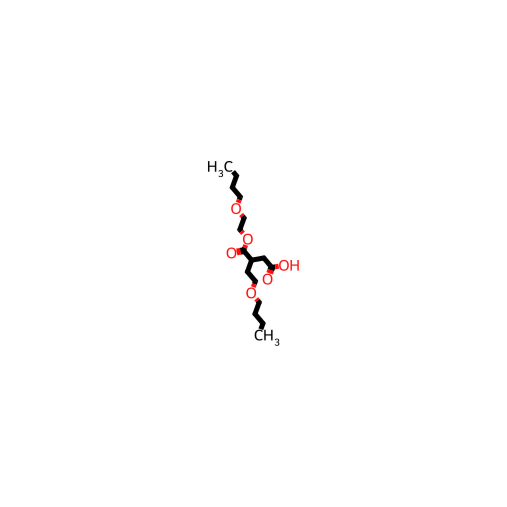 CCCCOCCOC(=O)C(CCOCCCC)CC(=O)O